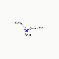 CCCCCCCCCCCCCCCCOC(=O)CCC(NC(=O)CCC(=O)O)C(=O)OCCCCCCCCCCCCCCCC